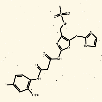 CC(C)COc1cc(F)ccc1NC(=O)CC(=O)Nc1nc(CNS(C)(=O)=O)c(Sc2ncc[nH]2)s1